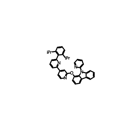 CC(C)c1cccc(C(C)C)c1-c1cccc(-c2ccnc(Oc3cccc4c5ccccc5n(-c5ccccn5)c34)c2)n1